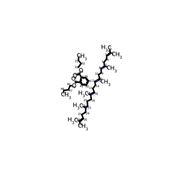 CC(C)=CCC/C(C)=C/CC/C(C)=C/CC/C=C(\C)CC/C=C(\C)CCC=C(C)C.CCCCOC(=O)c1ccccc1C(=O)OCCCC